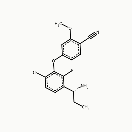 CC[C@@H](N)c1ccc(Cl)c(Oc2ccc(C#N)c(OC)c2)c1F